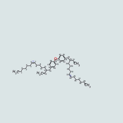 CCCCCC/C=C\CCCCC(CC)Cc1ccc(Oc2ccc(CC(CC)CCCC/C=C\CCCCCC)cc2)cc1